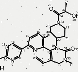 C=CC1=C(c2nc(-c3cnc(CO)nc3)ccc2C)N(C2CCN(C(=O)[C@@H](C)O)CC2)C(=O)N(C)C1